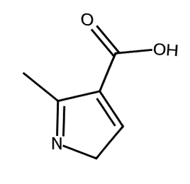 CC1=NCC=C1C(=O)O